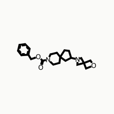 O=C(OCc1ccccc1)N1CCC2(CCC(N3CC4(COC4)C3)C2)CC1